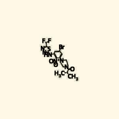 CC(C)C(=O)N1CCN(c2cc(Br)cc(Nc3nnc(C(F)F)s3)c2[N+](=O)[O-])CC1